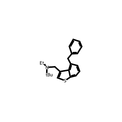 CCN(Cc1csc2cccc(Cc3ccccc3)c12)C(C)(C)C